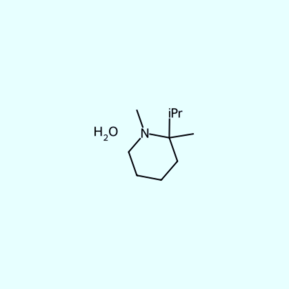 CC(C)C1(C)CCCCN1C.O